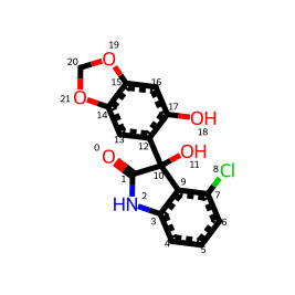 O=C1Nc2cccc(Cl)c2C1(O)c1cc2c(cc1O)OCO2